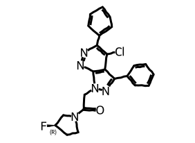 O=C(Cn1nc(-c2ccccc2)c2c(Cl)c(-c3ccccc3)nnc21)N1CC[C@@H](F)C1